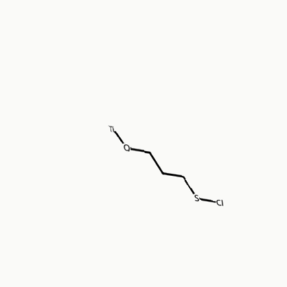 ClSCCC[O][Ti]